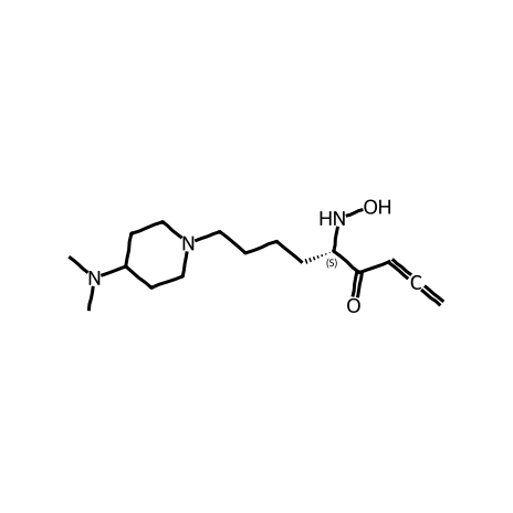 C=C=CC(=O)[C@H](CCCCN1CCC(N(C)C)CC1)NO